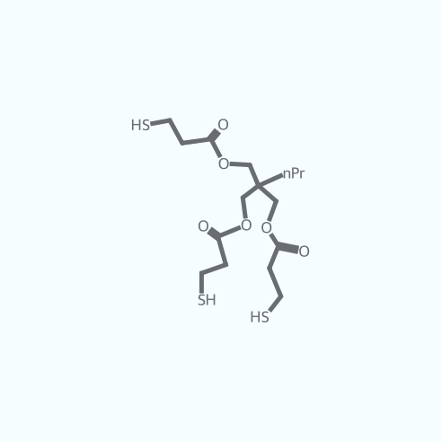 CCCC(COC(=O)CCS)(COC(=O)CCS)COC(=O)CCS